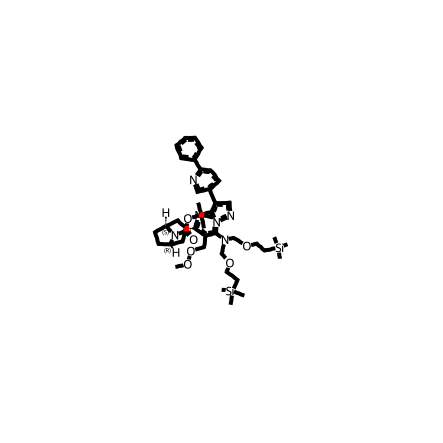 COOCc1c([C@@H]2C[C@H]3CC[C@@H](C2)N3C(=O)OC(C)(C)C)nc2c(-c3ccc(-c4ccccc4)nc3)cnn2c1N(COCC[Si](C)(C)C)COCC[Si](C)(C)C